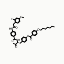 CCCCCCCOc1ccc(C(=O)Oc2ccc(C[C@H](NC(=O)c3ccc(NC(=O)Cc4ccc(OC)cc4F)cc3)C(C)=O)cc2)cc1